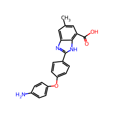 Cc1cc(C(=O)O)c2[nH]c(-c3ccc(Oc4ccc(N)cc4)cc3)nc2c1